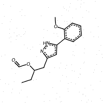 CCC(Cc1cc(-c2ccccc2OC)[nH]n1)OC=O